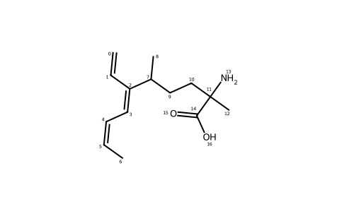 C=C/C(=C\C=C/C)C(C)CCC(C)(N)C(=O)O